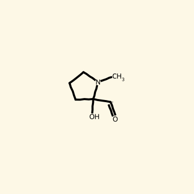 CN1CCCC1(O)[C]=O